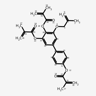 C=C(C)COc1cc(-c2ccc(OC(=O)C(=C)C)cc2)cc(OC(=O)C(=C)C)c1OC(=O)C(=C)C